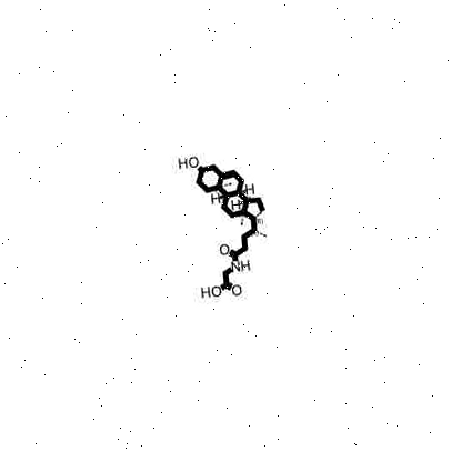 C[C@H](CCC(=O)NCC(=O)O)[C@H]1CC[C@H]2[C@@H]3CC=C4CC(O)CC[C@]4(C)[C@H]3CC[C@]12C